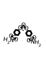 CP(=O)(Oc1ccc(S(N)(=O)=O)cc1)Oc1ccc(S(N)(=O)=O)cc1